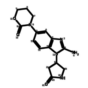 Nc1nc2cc(N3CCCOC3=O)ccc2n1C1CNC(=O)C1